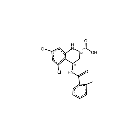 Cc1ccccc1C(=O)N[C@@H]1C[C@@H](C(=O)O)Nc2cc(Cl)cc(Cl)c21